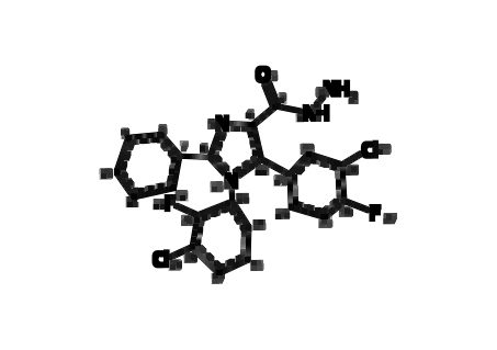 NNC(=O)c1nc(-c2ccccc2)n(-c2cccc(Cl)c2F)c1-c1ccc(F)c(Cl)c1